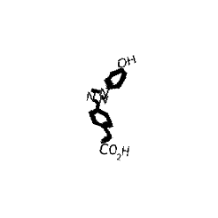 O=C(O)CCc1ccc(-c2ncn(-c3ccc(O)cc3)n2)cc1